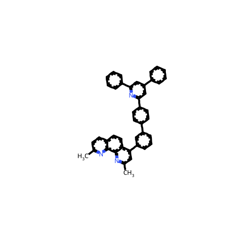 Cc1ccc2ccc3c(-c4cccc(-c5ccc(-c6cc(-c7ccccc7)cc(-c7ccccc7)n6)cc5)c4)cc(C)nc3c2n1